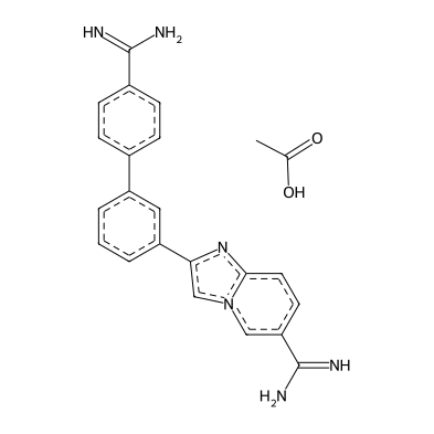 CC(=O)O.N=C(N)c1ccc(-c2cccc(-c3cn4cc(C(=N)N)ccc4n3)c2)cc1